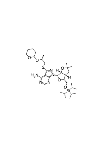 CC(C)[Si](OC[C@H]1O[C@@H](n2nc(SC[C@H](C)O[C@@H]3CCCCO3)c3c(N)ncnc32)[C@@H]2OC(C)(C)C[C@@H]21)(C(C)C)C(C)C